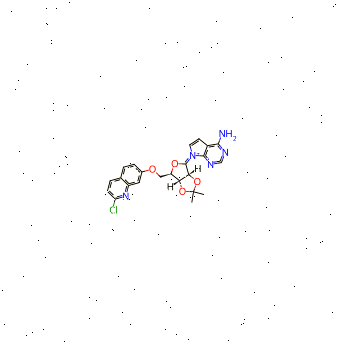 CC1(C)O[C@@H]2[C@@H](COc3ccc4ccc(Cl)nc4c3)O/C(=[N+]3\C=Cc4c(N)ncnc43)[C@@H]2O1